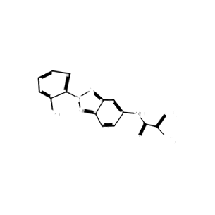 C=C(C)C(=O)Nc1ccc2nn(-c3ccccc3O)nc2c1